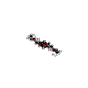 Cc1cn([C@@H]2C[C@@H](O)[C@H](CNC(=O)CCN3C(=O)c4cc(Cl)c5c6c(Cl)cc7c8c(cc(Cl)c(c9c(Cl)cc(c4c59)C3=O)c86)C(=O)N(CCC(=O)NC[C@H]3O[C@@H](n4cc(C)c(=O)[nH]c4=O)C[C@@H]3O)C7=O)O2)c(=O)[nH]c1=O